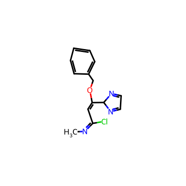 C/N=C(Cl)\C=C(\OCc1ccccc1)C1N=CC=N1